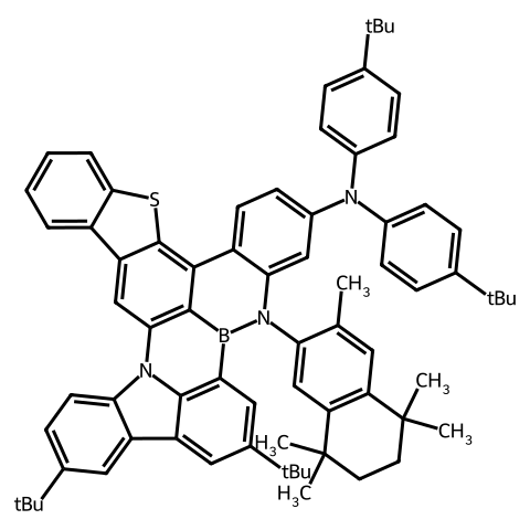 Cc1cc2c(cc1N1B3c4c(cc5c(sc6ccccc65)c4-c4ccc(N(c5ccc(C(C)(C)C)cc5)c5ccc(C(C)(C)C)cc5)cc41)-n1c4ccc(C(C)(C)C)cc4c4cc(C(C)(C)C)cc3c41)C(C)(C)CCC2(C)C